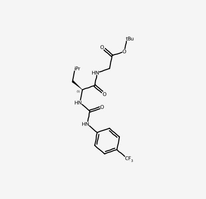 CC(C)C[C@H](NC(=O)Nc1ccc(C(F)(F)F)cc1)C(=O)NCC(=O)OC(C)(C)C